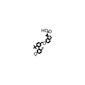 COc1ccc(F)c(-c2cc(COc3ccc4c(c3)[C@]3(CC4)C[C@H]3C(=O)O)ccc2C(C)(C)C)c1